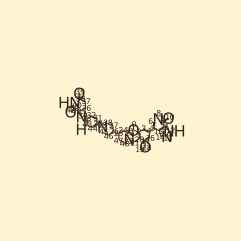 COc1cc(-c2cn(C)c(=O)c3[nH]ncc23)cc(OC)c1CN1CCC(C2CCN(c3ccc(NC4CCC(=O)NC4=O)cc3)CC2)CC1